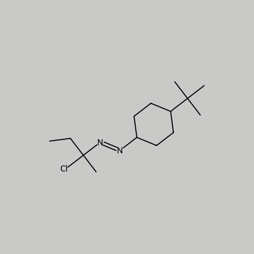 CCC(C)(Cl)N=NC1CCC(C(C)(C)C)CC1